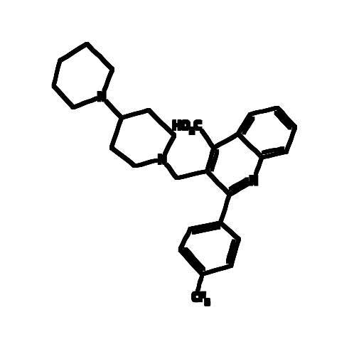 O=C(O)c1c(CN2CCC(N3CCCCC3)CC2)c(-c2ccc(C(F)(F)F)cc2)nc2ccccc12